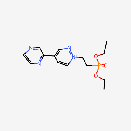 CCOP(=O)(CC[n+]1ccc(-c2cnccn2)cn1)OCC